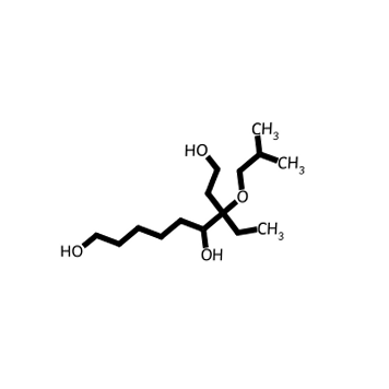 CCC(CCO)(OCC(C)C)C(O)CCCCCO